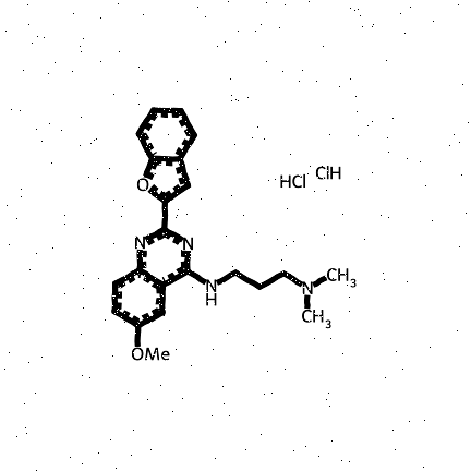 COc1ccc2nc(-c3cc4ccccc4o3)nc(NCCCN(C)C)c2c1.Cl.Cl